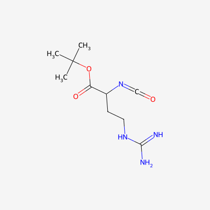 CC(C)(C)OC(=O)C(CCNC(=N)N)N=C=O